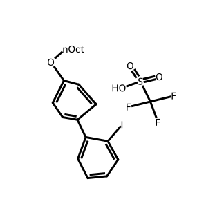 CCCCCCCCOc1ccc(-c2ccccc2I)cc1.O=S(=O)(O)C(F)(F)F